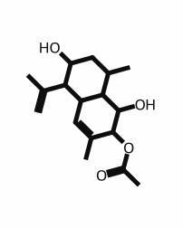 C=C(C)C1C(O)CC(C)C2C(O)C(OC(C)=O)C(C)=CC12